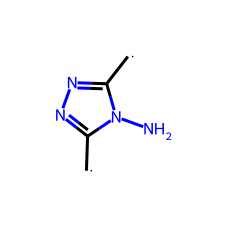 [CH2]c1nnc([CH2])n1N